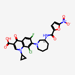 O=C(N[C@H]1CCCCN(c2c(F)cc3c(=O)c(C(=O)O)cn(C4CC4)c3c2Cl)C1)c1ccc([N+](=O)[O-])o1